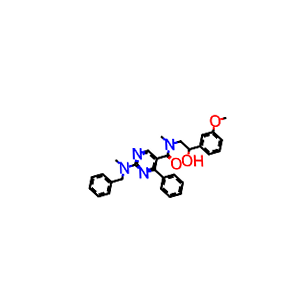 COc1cccc(C(O)CN(C)C(=O)c2cnc(N(C)Cc3ccccc3)nc2-c2ccccc2)c1